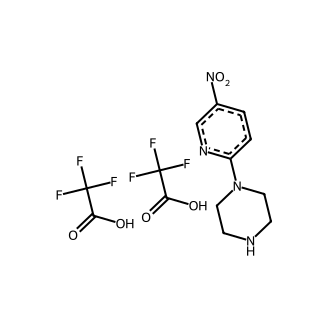 O=C(O)C(F)(F)F.O=C(O)C(F)(F)F.O=[N+]([O-])c1ccc(N2CCNCC2)nc1